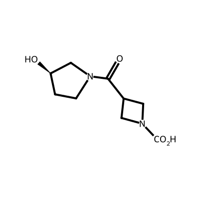 O=C(O)N1CC(C(=O)N2CC[C@@H](O)C2)C1